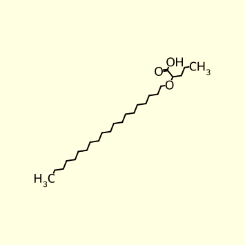 CCCCCCCCCCCCCCCCCCCCOC(CCC)C(=O)O